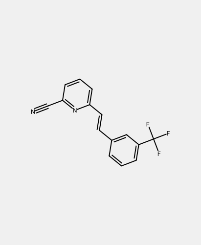 N#Cc1cccc(C=Cc2cccc(C(F)(F)F)c2)n1